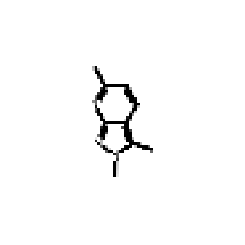 Cc1ccc2c(C)n(C)nc2n1